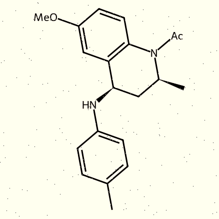 COc1ccc2c(c1)[C@H](Nc1ccc(C)cc1)C[C@H](C)N2C(C)=O